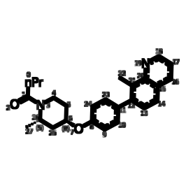 CCCC(=O)N1CC[C@@H](Oc2ccc(-c3ccc4cccnc4c3C)cc2)C[C@@H]1C